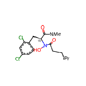 CNC(=O)[C@H](Cc1ccc(Cl)cc1Cl)N(O)C(=O)CCC(C)C